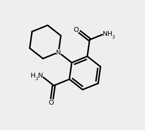 NC(=O)c1cccc(C(N)=O)c1N1CCCCC1